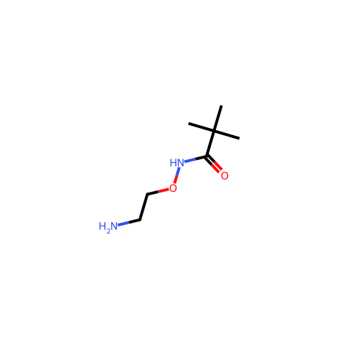 CC(C)(C)C(=O)NOCCN